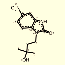 CC(C)(O)CCn1c(=O)[nH]c2cc([N+](=O)[O-])ccc21